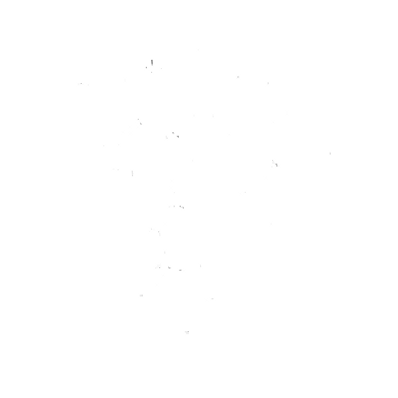 Cc1ccc(C)n1-c1ccc2ccc3[nH]c(=O)c(=O)n(CC(=O)NCc4ccccc4)c3c2c1